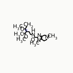 C=C/C(OC)=C(\CCNC(=O)c1nc2c(n1C)CCN(C)C2)[C@@H](C)OC